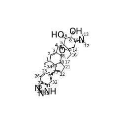 CC1C=C2C=C3[C@@H](O)[C@H](O)[C@@H](N(C)C)C[C@]34CC[C@]2(O4)C2CC=C(c3ccc4nn[nH]c4c3)[C@@]12C